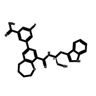 CNC(=O)c1cc(F)cc(-c2cc3c(c(C(=O)N[C@@H](CO)Cc4c[nH]c5ccccc45)c2)OCCCC3)c1